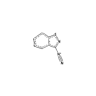 N#[N+]c1nsc2ccccc12